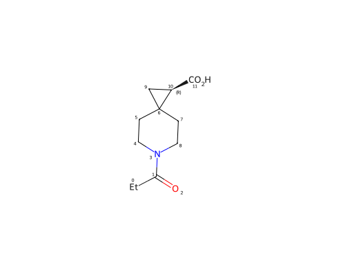 CCC(=O)N1CCC2(CC1)C[C@H]2C(=O)O